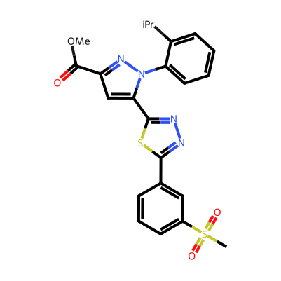 COC(=O)c1cc(-c2nnc(-c3cccc(S(C)(=O)=O)c3)s2)n(-c2ccccc2C(C)C)n1